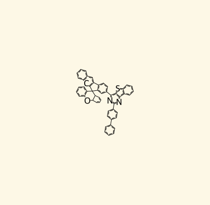 C1=CC2Oc3ccccc3C3(c4cc(-c5nc(-c6ccc(-c7ccccc7)cc6)nc6c5sc5ccccc56)ccc4-c4cc5ccccc5cc43)C2C=C1